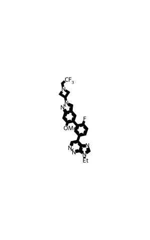 CCn1cnc2c(-c3ccc(F)c(-c4cc5cn(C6CN(CC(F)(F)F)C6)nc5cc4OC)c3)cnnc21